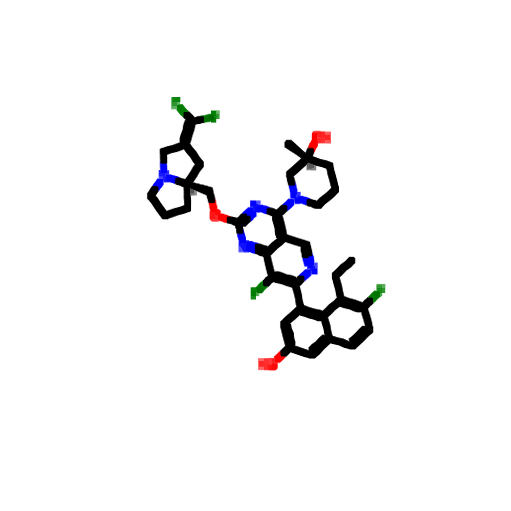 CCc1c(F)ccc2cc(O)cc(-c3ncc4c(N5CCC[C@@](C)(O)C5)nc(OC[C@@]56CCCN5CC(=C(F)F)C6)nc4c3F)c12